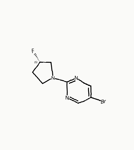 F[C@H]1CCN(c2ncc(Br)cn2)C1